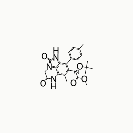 COC(=O)[C@@H](OC(C)(C)C)c1c(C)c2c3c([nH]c(=O)n3CC(=O)N2)c1-c1ccc(C)cc1